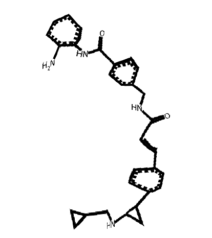 Nc1ccccc1NC(=O)c1ccc(CNC(=O)/C=C/c2ccc(C3CC3NCC3CC3)cc2)cc1